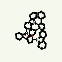 c1ccc(-c2cccc(-c3ccccc3)c2-n2c3ccccc3c3ccc(-n4c5ccccc5c5ccc(-n6c7ccccc7c7ccccc76)cc54)cc32)cc1